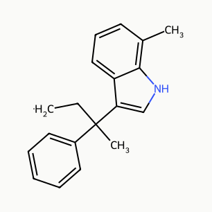 [CH2]CC(C)(c1ccccc1)c1c[nH]c2c(C)cccc12